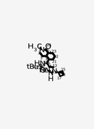 Cn1ccc2c([C@H](N[S@@+]([O-])C(C)(C)C)C3=CN(C45CC(C4)C5)NN3)cccc2c1=O